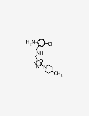 CC1CCN(c2nnc(CNCc3cc(Cl)ccc3N)o2)CC1